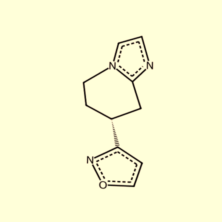 c1cn2c(n1)C[C@H](c1ccon1)CC2